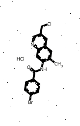 Cc1cc2cc(CCl)cnc2cc1NC(=O)c1ccc(Br)cc1.Cl